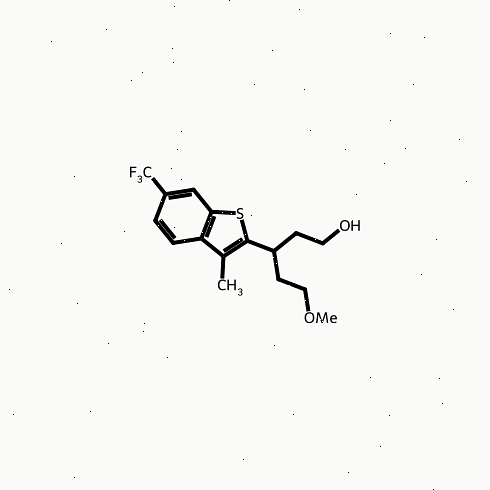 COCCC(CCO)c1sc2cc(C(F)(F)F)ccc2c1C